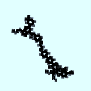 CCc1cnn2c(NCc3ccc(OCCOC4CCN(c5ncc(C(=O)N[C@H]6C(C)(C)[C@H](Oc7ccc(C#N)c(Cl)c7)C6(C)C)cn5)CC4)nc3)cc(N3CCCC(F)(F)C3)nc12